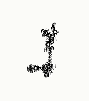 CCCOc1cccc(Oc2cc3c(cc2NS(=O)(=O)c2cccc(C(=O)NCCCCCCCC(=O)N[C@H](C(=O)N4C[C@H](O)C[C@H]4C(=O)NCc4ccc(-c5scnc5C)cc4)C(C)(C)C)c2)n(C)c(=O)n3C)c1